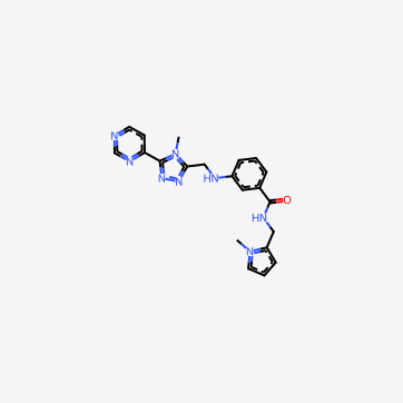 Cn1cccc1CNC(=O)c1cccc(NCc2nnc(-c3ccncn3)n2C)c1